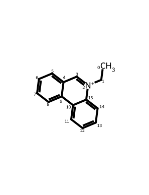 CC[n+]1cc2ccccc2c2ccccc21